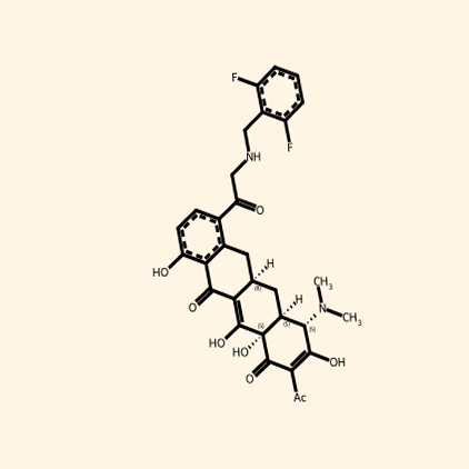 CC(=O)C1=C(O)[C@@H](N(C)C)[C@@H]2C[C@@H]3Cc4c(C(=O)CNCc5c(F)cccc5F)ccc(O)c4C(=O)C3=C(O)[C@]2(O)C1=O